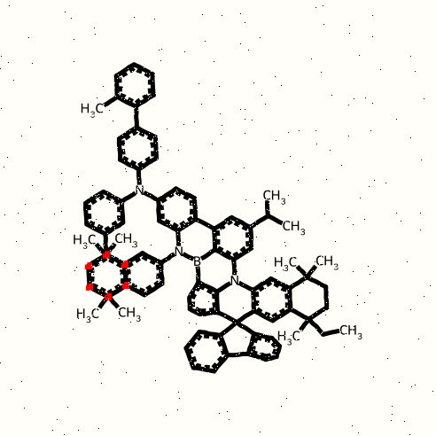 CCC1(C)CCC(C)(C)c2cc3c(cc21)C1(c2ccccc2-c2ccccc21)c1cccc2c1N3c1cc(C(C)C)cc3c1B2N(c1ccc2c(c1)C(C)(C)CCC2(C)C)c1cc(N(c2ccc(-c4ccccc4C)cc2)c2cccc(-c4ccccc4)c2)ccc1-3